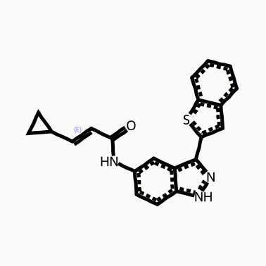 O=C(/C=C/C1CC1)Nc1ccc2[nH]nc(-c3cc4ccccc4s3)c2c1